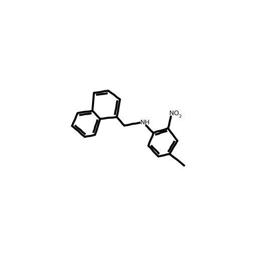 Cc1ccc(NCc2cccc3ccccc23)c([N+](=O)[O-])c1